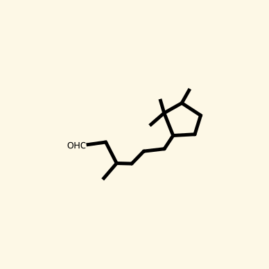 CC(CC=O)CCCC1CCC(C)C1(C)C